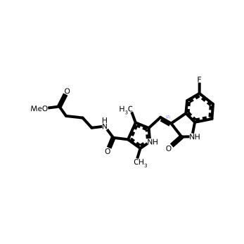 COC(=O)CCCNC(=O)c1c(C)[nH]c(/C=C2\C(=O)Nc3ccc(F)cc32)c1C